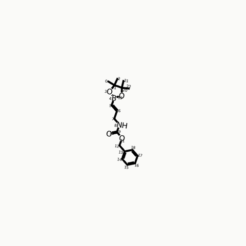 CC1(C)OB(C=CCNC(=O)OCc2ccccc2)OC1(C)C